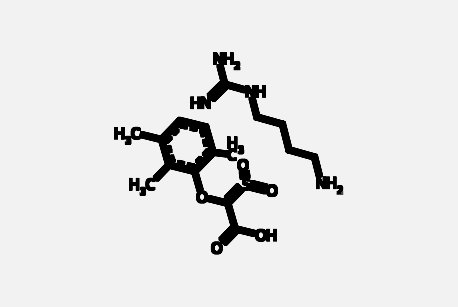 Cc1ccc(C)c(OC(C(=O)O)=S(=O)=O)c1C.N=C(N)NCCCCN